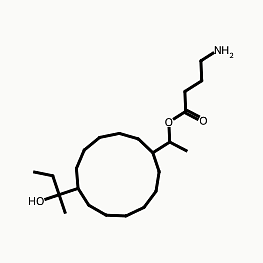 CCC(C)(O)C1CCCCCCC(C(C)OC(=O)CCCN)CCCCC1